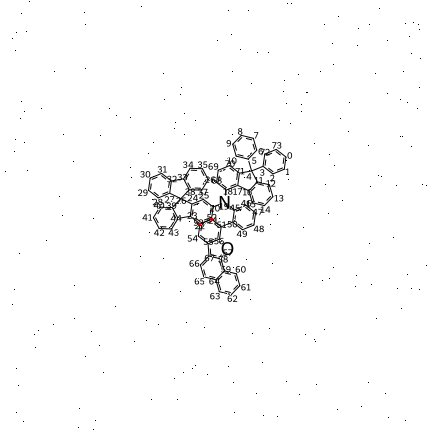 c1ccc(C2(c3ccccc3)c3ccccc3-c3c(N(c4ccc5c(c4)C4(c6ccccc6-c6ccccc64)c4ccccc4-5)c4ccccc4-c4cccc5c4oc4c6ccccc6ccc54)cccc32)cc1